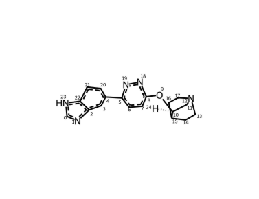 c1nc2cc(-c3ccc(O[C@H]4CN5CCC4CC5)nn3)ccc2[nH]1